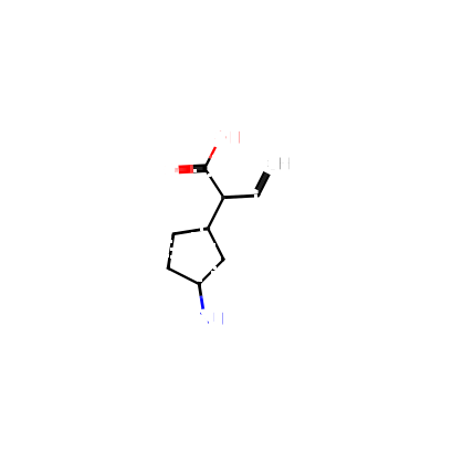 C=CC(C(=O)O)C1CCC(N)C1